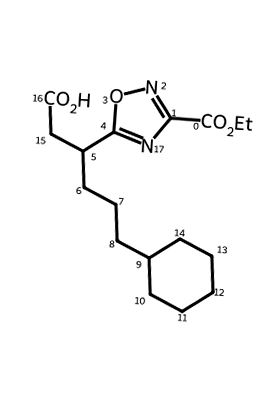 CCOC(=O)c1noc(C(CCCC2CCCCC2)CC(=O)O)n1